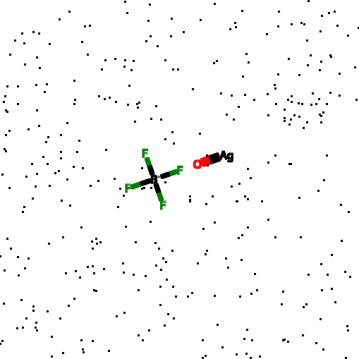 F[B-](F)(F)F.[O]=[Ag]